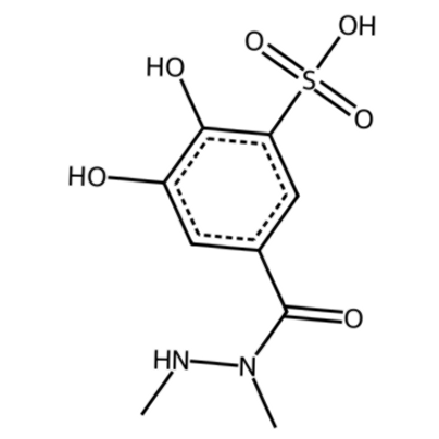 CNN(C)C(=O)c1cc(O)c(O)c(S(=O)(=O)O)c1